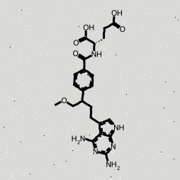 COCC(CCc1c[nH]c2nc(N)nc(N)c12)c1ccc(C(=O)N[C@@H](CCC(=O)O)C(=O)O)cc1